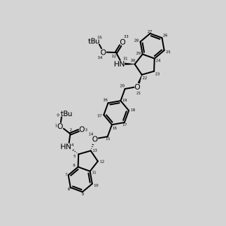 CC(C)(C)OC(=O)N[C@H]1c2ccccc2C[C@H]1OCc1ccc(CO[C@@H]2Cc3ccccc3[C@@H]2NC(=O)OC(C)(C)C)cc1